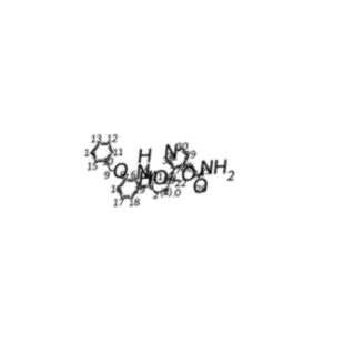 C[C@H](Cc1c[nH]c2c(OCc3ccccc3)cccc12)[C@](O)(COC(N)=O)c1cccnc1